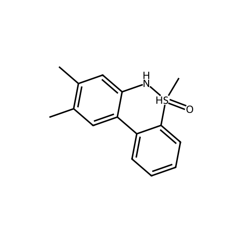 Cc1cc2c(cc1C)-c1ccccc1[SH](C)(=O)N2